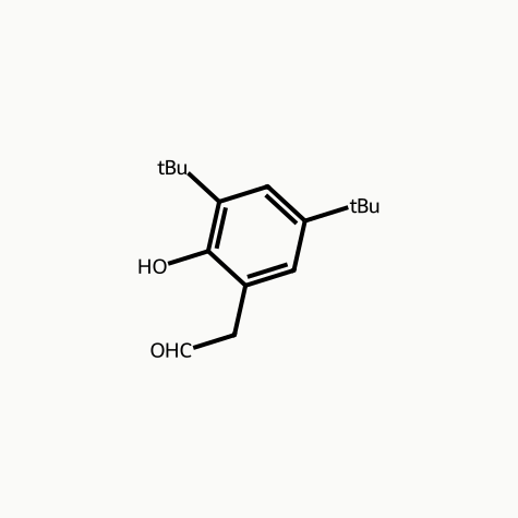 CC(C)(C)c1cc(CC=O)c(O)c(C(C)(C)C)c1